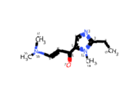 CCc1ncc(C(=O)C=CN(C)C)n1C